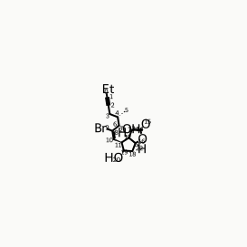 CCC#CC[C@H](C)[C@H](O)/C(Br)=C\[C@H]1[C@H]2CC(=O)O[C@H]2C[C@H]1O